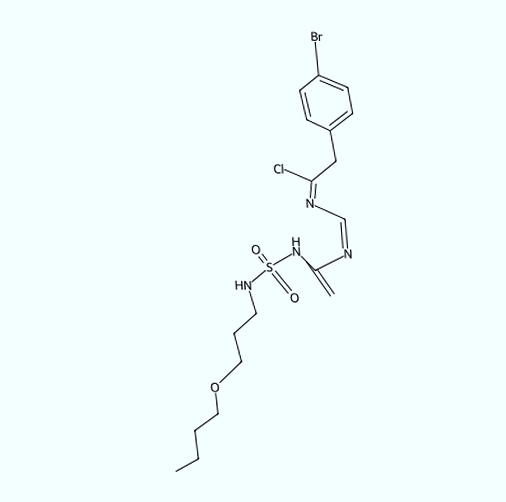 C=C(/N=C\N=C(\Cl)Cc1ccc(Br)cc1)NS(=O)(=O)NCCCOCCCC